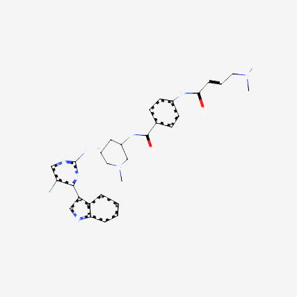 CN(C)C/C=C/C(=O)Nc1ccc(C(=O)NC2C[C@@H](Nc3ncc(Cl)c(-c4c[nH]c5ccccc45)n3)CN(C)C2)cc1